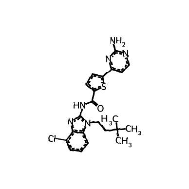 CC(C)(C)CCn1c(NC(=O)c2ccc(-c3ccnc(N)n3)s2)nc2c(Cl)cccc21